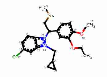 CCOc1cc(C(CSC)n2c3ccc(Cl)cc3n2CC2CC2)ccc1OC